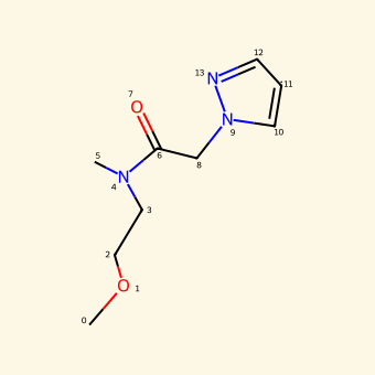 COCCN(C)C(=O)Cn1c[c]cn1